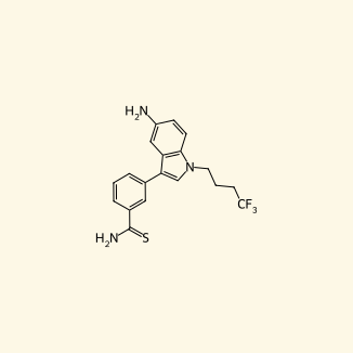 NC(=S)c1cccc(-c2cn(CCCC(F)(F)F)c3ccc(N)cc23)c1